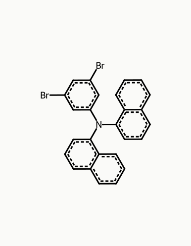 Brc1cc(Br)cc(N(c2cccc3ccccc23)c2cccc3ccccc23)c1